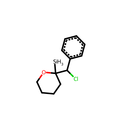 [SiH3]C1(C(Cl)c2ccccc2)CCCCO1